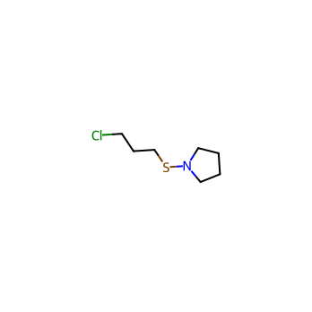 ClCCCSN1CCCC1